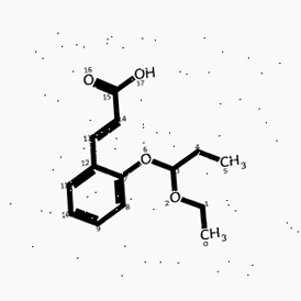 CCOC(CC)Oc1ccccc1/C=C/C(=O)O